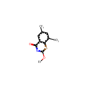 CCOc1nc(=O)c2cc(C(F)(F)F)cc([N+](=O)[O-])c2s1